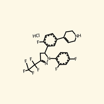 Cl.Fc1ccc(N2N=C(C(F)(F)C(F)(F)F)CC2c2cc(C3=CCNCC3)ccc2F)c(F)c1